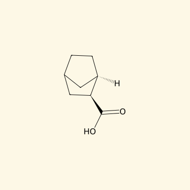 O=C(O)[C@H]1CC2CC[C@@H]1C2